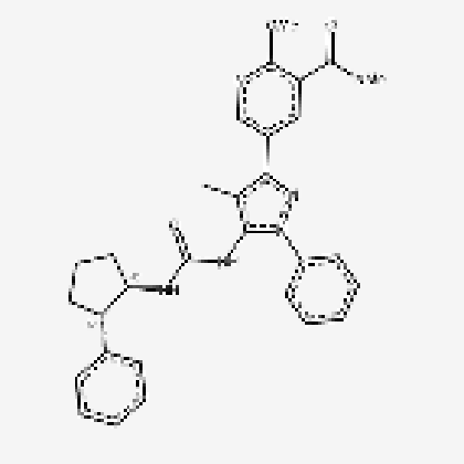 CNC(=O)c1cc(-c2nn(-c3ccccc3)c(NC(=O)N[C@@H]3CCC[C@H]3c3ccccc3)c2C)cnc1OC